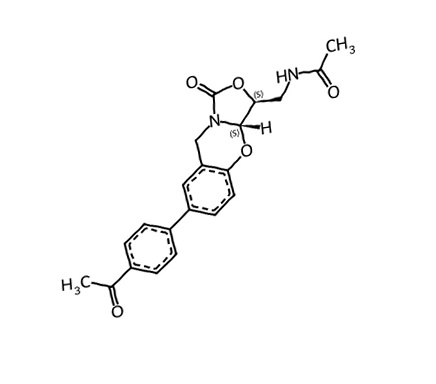 CC(=O)NC[C@@H]1OC(=O)N2Cc3cc(-c4ccc(C(C)=O)cc4)ccc3O[C@@H]12